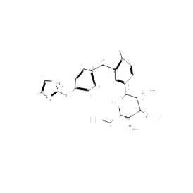 Cc1ccc([C@@H]2O[C@H](CO)[C@@H](O)C(O)[C@H]2O)cc1Cc1ccc(Oc2nccs2)cc1